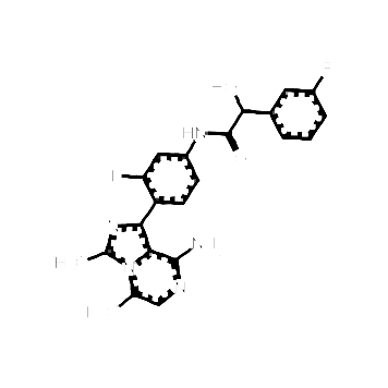 Cc1cnc(N)c2c(-c3ccc(NC(=O)C(O)c4cccc(F)c4)cc3F)nc(C)n12